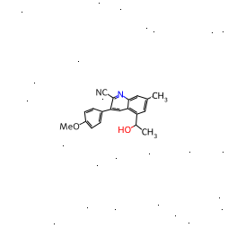 COc1ccc(-c2cc3c(C(C)O)cc(C)cc3nc2C#N)cc1